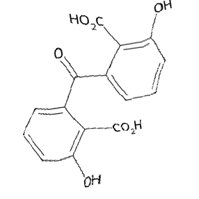 O=C(c1cccc(O)c1C(=O)O)c1cccc(O)c1C(=O)O